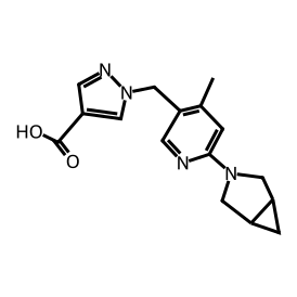 Cc1cc(N2CC3CC3C2)ncc1Cn1cc(C(=O)O)cn1